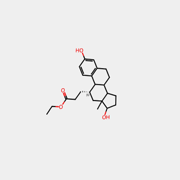 CCOC(=O)CC[C@H]1CC2(C)C(O)CCC2C2CCc3cc(O)ccc3C21